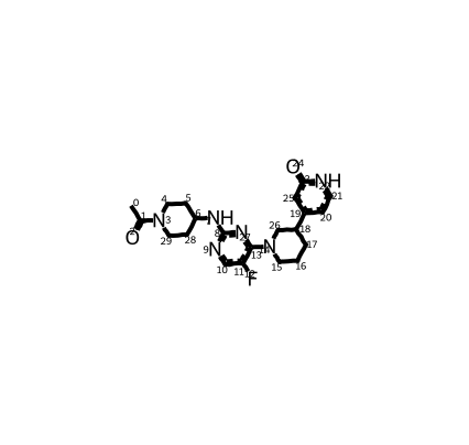 CC(=O)N1CCC(Nc2ncc(F)c(N3CCCC(c4cc[nH]c(=O)c4)C3)n2)CC1